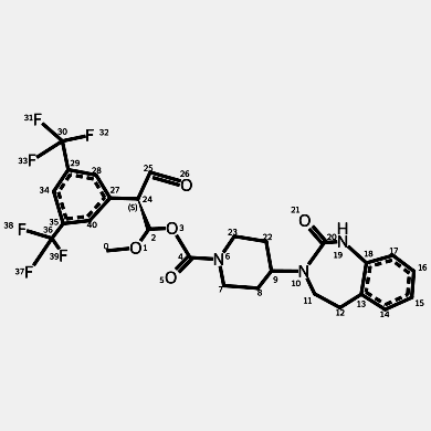 COC(OC(=O)N1CCC(N2CCc3ccccc3NC2=O)CC1)[C@H](C=O)c1cc(C(F)(F)F)cc(C(F)(F)F)c1